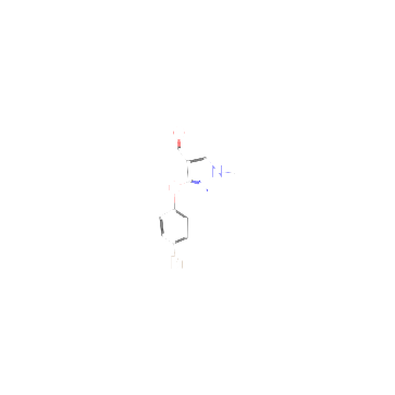 Cn1cc(C=O)c(Oc2ccc(Br)cc2)n1